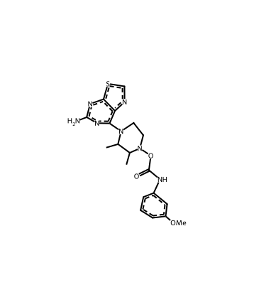 COc1cccc(NC(=O)ON2CCN(c3nc(N)nc4scnc34)C(C)C2C)c1